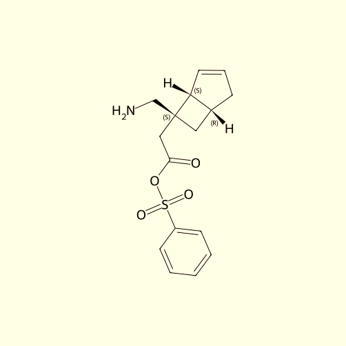 NC[C@]1(CC(=O)OS(=O)(=O)c2ccccc2)C[C@H]2CC=C[C@H]21